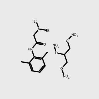 CCN(CC)CC(=O)Nc1c(C)cccc1C.O=[N+]([O-])OCC(CO[N+](=O)[O-])O[N+](=O)[O-]